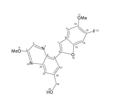 COc1cnc2c(-c3cc4cc(OC)c(F)cc4o3)cc(CO)cc2n1